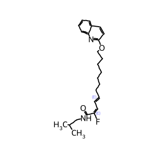 CC(C)CNC(=O)/C(F)=C\C=C\CCCCCCCOc1ccc2ccccc2n1